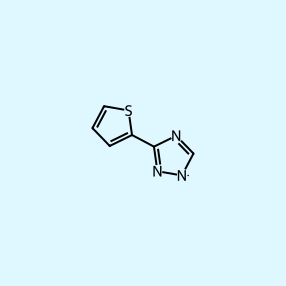 C1=NC(c2cccs2)=N[N]1